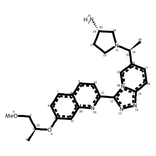 COC[C@H](C)Oc1ccc2ccc(-c3nnc4ccc([C@H](C)N5CC[C@H](N)C5)cn34)nc2c1